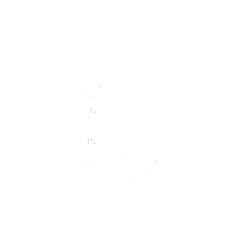 Cc1ccc(C(=O)N2CCC(NCC(O)C3COc4ccccc4O3)CC2)cc1